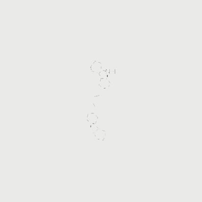 C1=C(c2ccc3[nH]c4ccccc4c3c2)CCC(c2ccc3sc4ccccc4c3c2)=C1